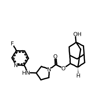 O=C(OC1C2CC3C[C@@H]1CC(O)(C3)C2)N1CCC(Nc2ccc(F)cn2)C1